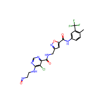 Cc1ccc(NC(=O)c2cc(CNC(=O)c3ncnc(NCCN=O)c3Cl)no2)cc1C(F)(F)F